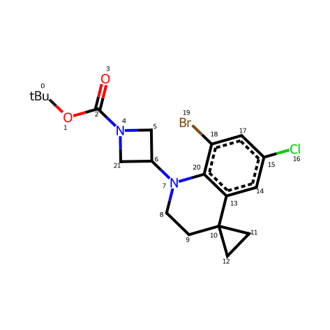 CC(C)(C)OC(=O)N1CC(N2CCC3(CC3)c3cc(Cl)cc(Br)c32)C1